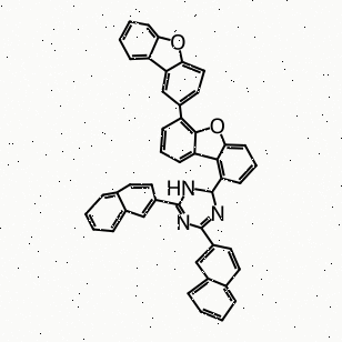 c1ccc2cc(C3=NC(c4cccc5oc6c(-c7ccc8oc9ccccc9c8c7)cccc6c45)NC(c4ccc5ccccc5c4)=N3)ccc2c1